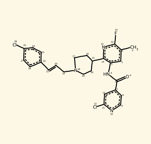 Cc1cc(NC(=O)c2ccnc(Cl)c2)c(C2CCN(C/C=C/c3ccc(Cl)cc3)CC2)nc1F